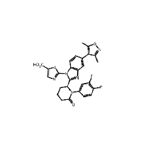 Cc1noc(C)c1-c1ccc2c(c1)nc([C@@H]1CCCC(=O)N1c1ccc(F)c(F)c1)n2-c1ncc(C(=O)O)s1